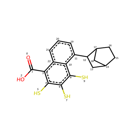 O=C(O)c1c(S)c(S)c(S)c2c(C3CC4CCC3C4)cccc12